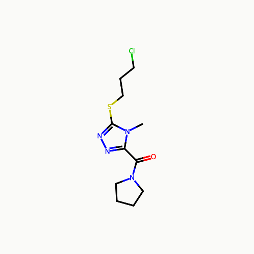 Cn1c(SCCCCl)nnc1C(=O)N1CCCC1